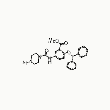 CCN1CCN(C(=O)Nc2ccc(OC(c3ccccc3)c3ccccc3)c(C(=O)OC)c2)CC1